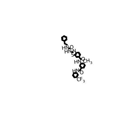 Cc1ccc(C(=O)Nc2cccc(C(F)(F)F)c2)cc1NC(=O)c1ccc2nc(NC(=O)NCCc3ccccc3)sc2c1